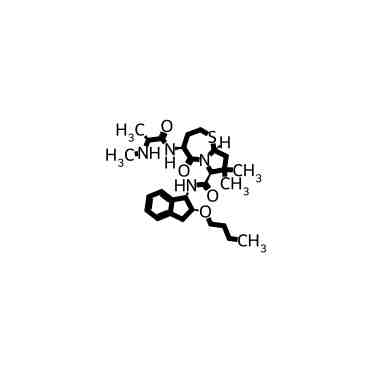 CCCCO[C@@H]1Cc2ccccc2[C@@H]1NC(=O)[C@H]1N2C(=O)[C@@H](NC(=O)[C@H](C)NC)CCS[C@H]2CC1(C)C